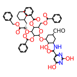 O=CC1CC(NC(=O)c2cc(O)nc(O)n2)C(O)C(OC2OC(COC(=O)c3ccccc3)C(OC(=O)c3ccccc3)C(O[C@@H](CC3CCCCC3)C(=O)OCc3ccccc3)C2OC(=O)c2ccccc2)C1